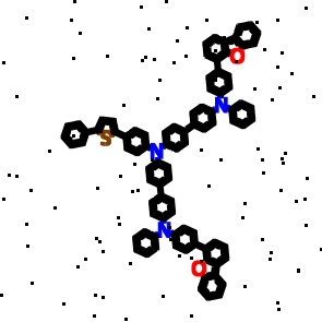 c1ccc(-c2ccc(-c3ccc(N(c4ccc(-c5ccc(N(c6ccccc6)c6ccc(-c7cccc8c7oc7ccccc78)cc6)cc5)cc4)c4ccc(-c5ccc(N(c6ccccc6)c6ccc(-c7cccc8c7oc7ccccc78)cc6)cc5)cc4)cc3)s2)cc1